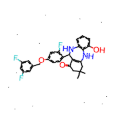 CC1(C)CC(=O)C2=C(C1)Nc1c(O)cccc1NC2c1ccc(OCc2cc(F)cc(F)c2)cc1F